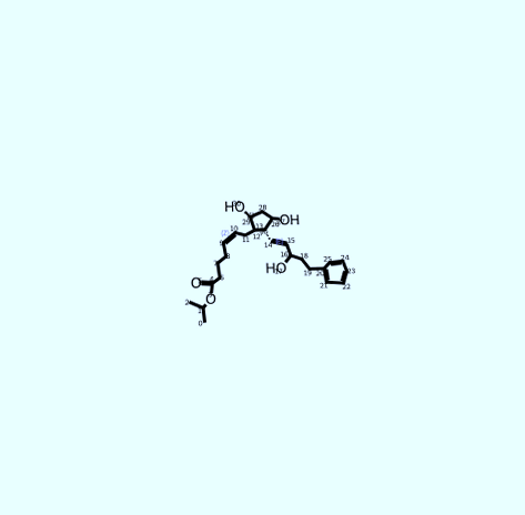 CC(C)OC(=O)CCC/C=C\CC1[C@@H](/C=C/C(O)CCc2ccccc2)C(O)C[C@@H]1O